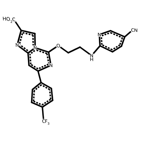 N#Cc1ccc(NCCOc2nc(-c3ccc(C(F)(F)F)cc3)cc3nc(C(=O)O)cn23)nc1